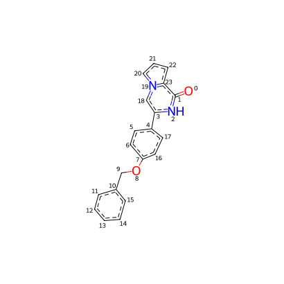 O=c1[nH]c(-c2ccc(OCc3ccccc3)cc2)cn2cccc12